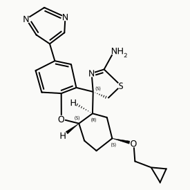 NC1=N[C@]2(CS1)c1cc(-c3cncnc3)ccc1O[C@H]1CC[C@H](OCC3CC3)C[C@@H]12